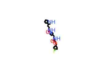 O=C(COCc1ccc(F)cc1)NCCC1CCN(C(=O)NCCCc2c[nH]c3ccccc23)CC1